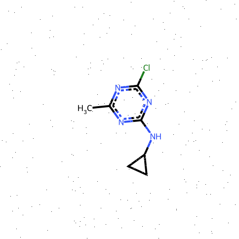 Cc1nc(Cl)nc(NC2CC2)n1